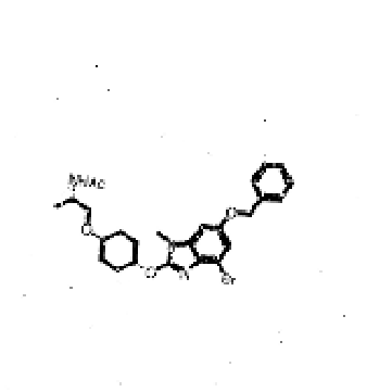 CC(=O)N[C@@H](C)CO[C@H]1CC[C@H](Oc2nc3c(Br)cc(OCc4ccccc4)cc3n2C)CC1